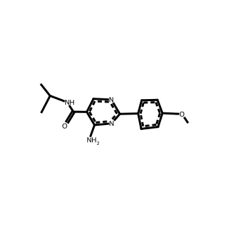 COc1ccc(-c2ncc(C(=O)NC(C)C)c(N)n2)cc1